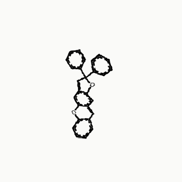 C1=c2cc3c(cc2Oc2ccccc21)=CC(c1ccccc1)(c1ccccc1)O3